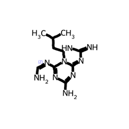 CC(C)CC1NC(=N)N=C2N=C(N)N=C(/N=C\N)N21